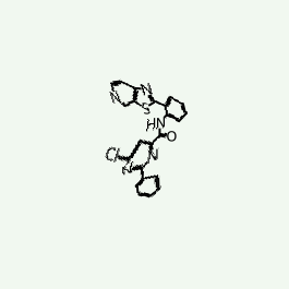 O=C(Nc1ccccc1-c1nc2ccncc2s1)c1cc(Cl)nc(-c2ccccc2)n1